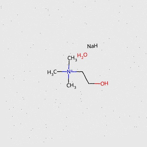 C[N+](C)(C)CCO.O.[NaH]